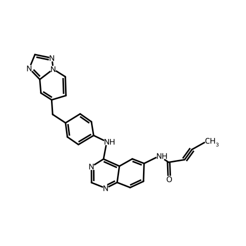 CC#CC(=O)Nc1ccc2ncnc(Nc3ccc(Cc4ccn5ncnc5c4)cc3)c2c1